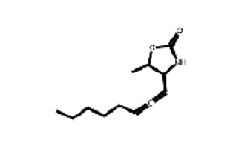 CCCCCC=C=CC1NC(=O)OC1C